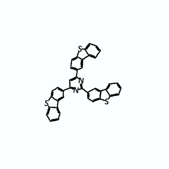 c1ccc2c(c1)sc1ccc(-c3cc(-c4ccc5sc6ccccc6c5c4)nc(-c4ccc5sc6ccccc6c5c4)n3)cc12